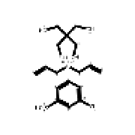 C=CCOCC=C.O=S(=O)(O)c1cccc(Cl)c1.OCC(CO)(CO)CO